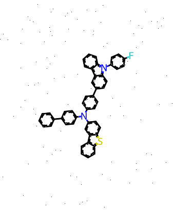 Fc1ccc(-n2c3ccccc3c3cc(-c4ccc(N(c5ccc(-c6ccccc6)cc5)c5ccc6sc7ccccc7c6c5)cc4)ccc32)cc1